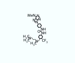 CNc1ncnc2c1ncn2-c1ccc(NC(=O)Nc2ccc(CN(C)CCCN(C)C)c(C(F)(F)F)c2)cc1